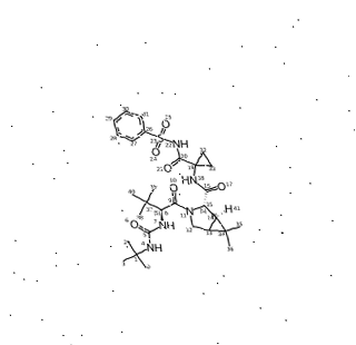 CC(C)(C)NC(=O)N[C@H](C(=O)N1CC2[C@@H]([C@H]1C(=O)NC1(C(=O)NS(=O)(=O)c3ccccc3)CC1)C2(C)C)C(C)(C)C